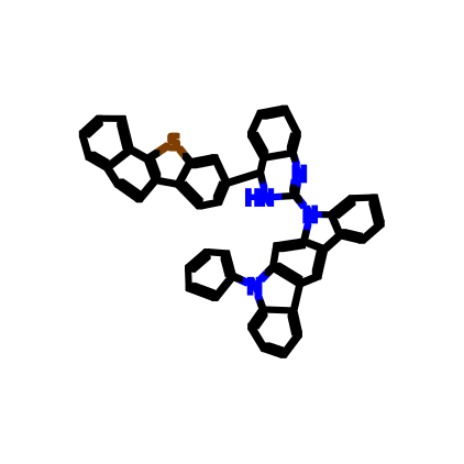 c1ccc(-n2c3ccccc3c3cc4c5ccccc5n(C5=Nc6ccccc6C(c6ccc7c(c6)sc6c8ccccc8ccc76)N5)c4cc32)cc1